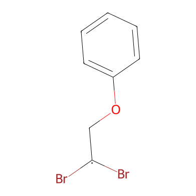 Br[C](Br)COc1ccccc1